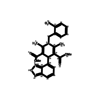 COC(=O)C1=C(C)N(Cc2ccccc2[N+](=O)[O-])C(C)=C(C(=O)OC)C1c1cccc2nonc12